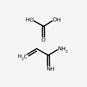 C=CC(=N)N.O=C(O)O